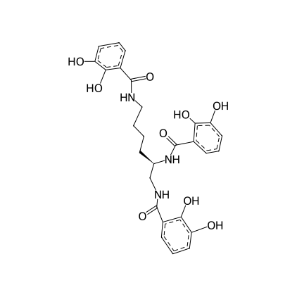 O=C(NCCCC[C@H](CNC(=O)c1cccc(O)c1O)NC(=O)c1cccc(O)c1O)c1cccc(O)c1O